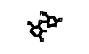 Cc1c(Cl)ccc(Br)c1Oc1nnc(Cl)cc1O